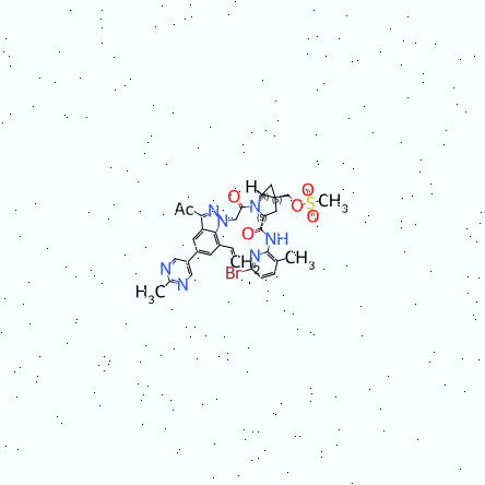 C=Cc1cc(-c2cnc(C)nc2)cc2c(C(C)=O)nn(CC(=O)N3[C@H](C(=O)Nc4nc(Br)ccc4C)C[C@@]4(COS(C)(=O)=O)C[C@@H]34)c12